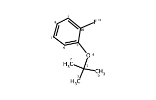 CC(C)(C)Oc1ccccc1F